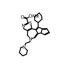 COC(=O)C1=NCC2=C(S1)C1=C(C3CCCCC3)C3=CC=CC3C1=CN(CCN1CCCCC1)C2